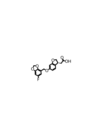 O=C(O)C[C@@H]1COc2cc(OCc3cc(F)cc4c3OCO4)ccc21